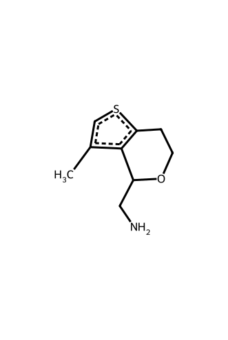 Cc1csc2c1C(CN)OCC2